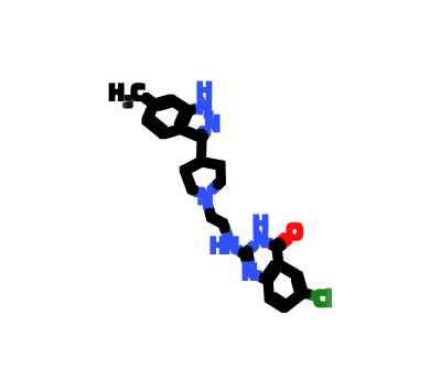 Cc1ccc2c(C3CCN(CCNc4nc5ccc(Cl)cc5c(=O)[nH]4)CC3)n[nH]c2c1